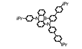 CC(C)c1ccc(-c2ccc(N3c4ccc(-c5ccc(C(C)C)cc5)cc4B4c5ccccc5N(c5ccc(C(C)C)cc5)c5cccc3c54)cc2)cc1